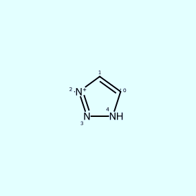 [C]1=C[N+]=NN1